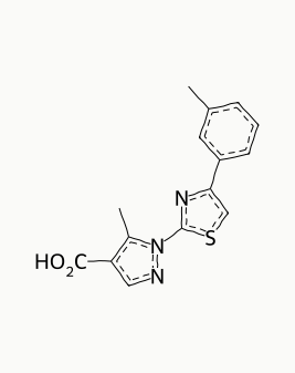 Cc1cccc(-c2csc(-n3ncc(C(=O)O)c3C)n2)c1